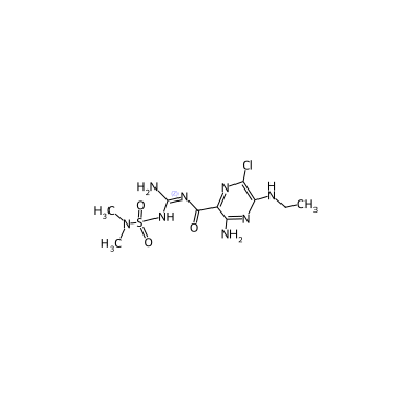 CCNc1nc(N)c(C(=O)/N=C(/N)NS(=O)(=O)N(C)C)nc1Cl